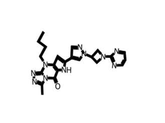 CCCCn1c2cc(-c3cnn(C4CN(c5ncccn5)C4)c3)[nH]c2c(=O)n2c(C)nnc12